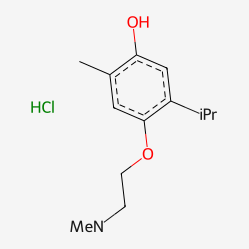 CNCCOc1cc(C)c(O)cc1C(C)C.Cl